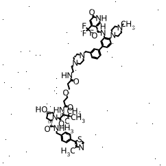 Cc1ncsc1-c1ccc(CNC(=O)[C@@H]2C[C@@H](O)CN2C(=O)[C@@H](NC(=O)CCOCCC(=O)NCCN2CCN(Cc3cccc(-c4ccc(N5CCN(C)CC5)c(NC(=O)c5c[nH]c(=O)cc5C(F)(F)F)c4)c3)CC2)C(C)(C)C)cc1